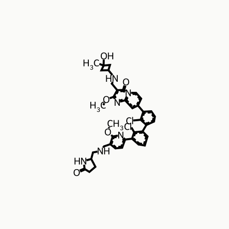 COc1nc(-c2cccc(-c3cccc(-c4ccn5c(=O)c(CNC6CC(C)(O)C6)c(OC)nc5c4)c3Cl)c2Cl)ccc1CNCC1CCC(=O)N1